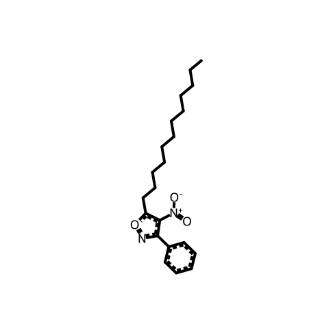 CCCCCCCCCCCCc1onc(-c2ccccc2)c1[N+](=O)[O-]